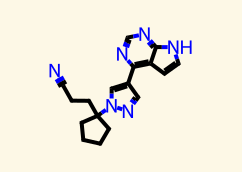 N#CCCC1(n2cc(-c3ncnc4[nH]ccc34)cn2)CCCC1